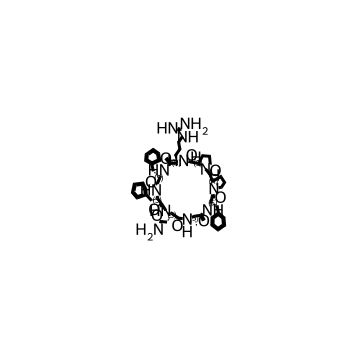 C[C@@H]1NC(=O)[C@H](CC(N)=O)NC(=O)[C@H](Cc2ccccc2)NC(=O)[C@H](Cc2ccccc2)NC(=O)[C@@H](CCCNC(=N)N)NC(=O)[C@@H]2CCCN2C(=O)[C@H]2CCCN2C(=O)[C@H](Cc2ccccc2)NC1=O